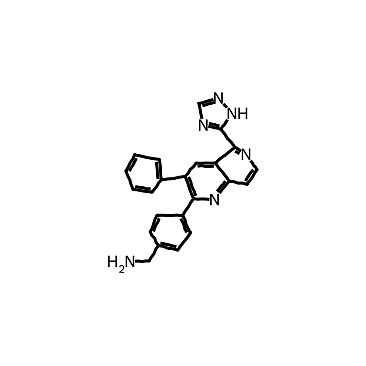 NCc1ccc(-c2nc3ccnc(-c4ncn[nH]4)c3cc2-c2ccccc2)cc1